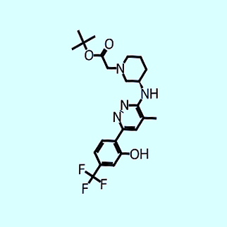 Cc1cc(-c2ccc(C(F)(F)F)cc2O)nnc1N[C@@H]1CCCN(CC(=O)OC(C)(C)C)C1